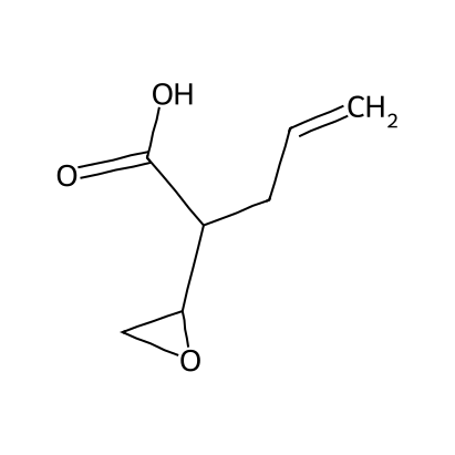 C=CCC(C(=O)O)C1CO1